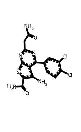 NC(=O)Cc1nc(-c2ccc(Cl)c(Cl)c2)c2c(N)c(C(N)=O)sc2n1